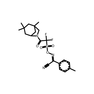 Cc1ccc(C(C#N)=NOS(=O)(=O)C(F)(F)C(=O)N2CC3(C)CC2CC(C)(C)C3)cc1